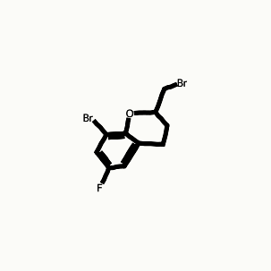 Fc1cc(Br)c2c(c1)CCC(CBr)O2